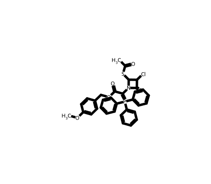 COc1ccc(COC(=O)C(N2C(=O)C(Cl)C2SC(C)=O)=P(c2ccccc2)(c2ccccc2)c2ccccc2)cc1